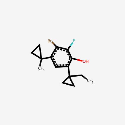 Oc1c(C2(CC(F)(F)F)CC2)cc(C2(C(F)(F)F)CC2)c(Br)c1F